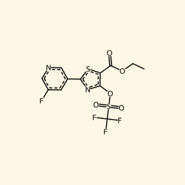 CCOC(=O)c1sc(-c2cncc(F)c2)nc1OS(=O)(=O)C(F)(F)F